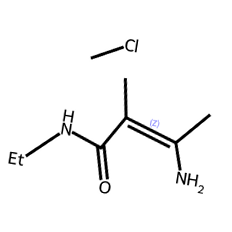 CCNC(=O)/C(C)=C(/C)N.CCl